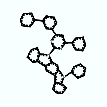 c1ccc(-c2cccc(-c3cc(-c4ccccc4)nc(-n4c5ccccc5c5cc6c7ccccc7n(-c7ccccc7)c6cc54)n3)c2)cc1